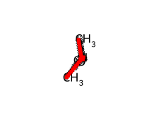 CCCCCCCCCCCCCCCCCC(=O)C(=O)CN1CCN=C1CCCCCCCCCCCCCCCC